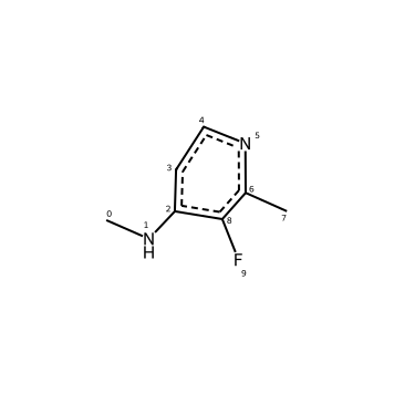 CNc1ccnc(C)c1F